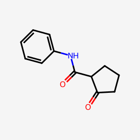 O=C1CCCC1C(=O)Nc1ccccc1